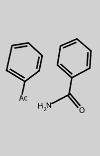 CC(=O)c1ccccc1.NC(=O)c1ccccc1